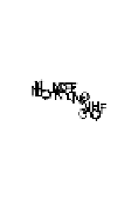 CC(C)n1ncc2ccc(-c3noc(C4CCN(C(=O)CNC(=O)c5cccc(F)c5)CC4(F)F)n3)cc21